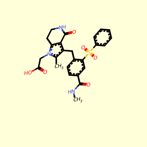 CNC(=O)c1ccc(Cc2c3c(n(CC(=O)O)c2C)CCNC3=O)c(S(=O)(=O)c2ccccc2)c1